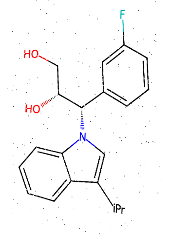 CC(C)c1cn([C@@H](c2cccc(F)c2)[C@H](O)CO)c2ccccc12